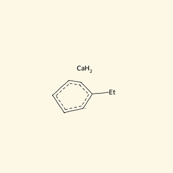 CCc1[c]cccc1.[CaH2]